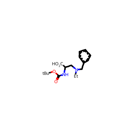 CCN(Cc1ccccc1)CC(NC(=O)OC(C)(C)C)C(=O)O